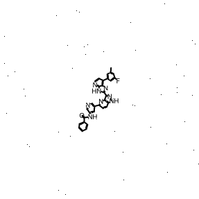 Cc1cc(F)cc(-c2ccnc3[nH]c(-c4n[nH]c5ccc(-c6cncc(NC(=O)c7ccccc7)c6)nc45)nc23)c1